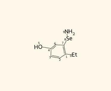 CCc1ccc(O)cc1[Se]N